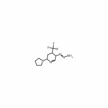 NN=NC1C=NC(N2CCCC2)CC1C(F)(F)F